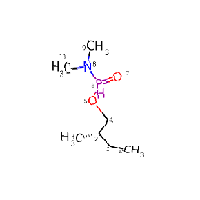 CC[C@H](C)CO[PH](=O)N(C)C